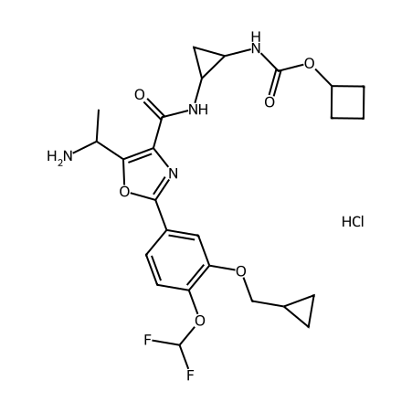 CC(N)c1oc(-c2ccc(OC(F)F)c(OCC3CC3)c2)nc1C(=O)NC1CC1NC(=O)OC1CCC1.Cl